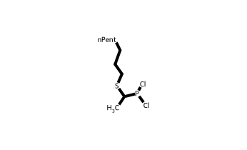 CCCCCCCCSC(C)P(Cl)Cl